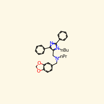 CCCCn1c(-c2ccccc2)nc(-c2ccccc2)c1CN(CCC)Cc1ccc2c(c1)OCO2